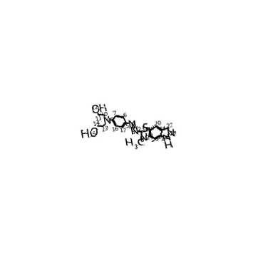 C[n+]1c(/N=N/c2ccc(N(CCO)CCO)cc2)sc2cc3cn[nH]c3cc21